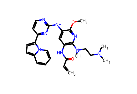 C=CC(=O)Nc1cc(Nc2nccc(-c3ccc4ccccn34)n2)c(OC)nc1N(C)CCN(C)C